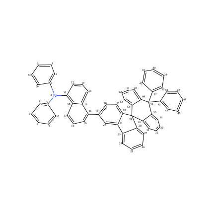 c1ccc(N(c2ccccc2)c2cccc3c(-c4ccc5c(c4)-c4ccccc4C54c5ccccc5C(c5ccccc5)(c5ccccc5)c5ccccc54)cccc23)cc1